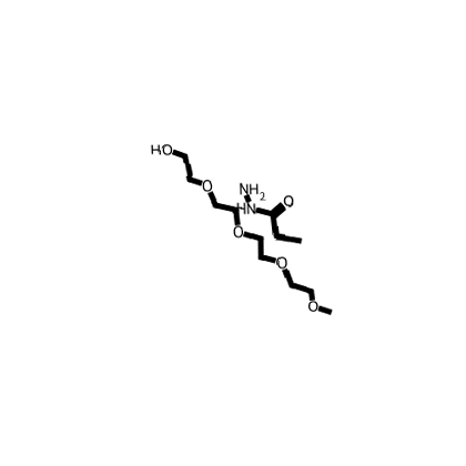 CCC(=O)NN.COCCOCCOCCOCCO